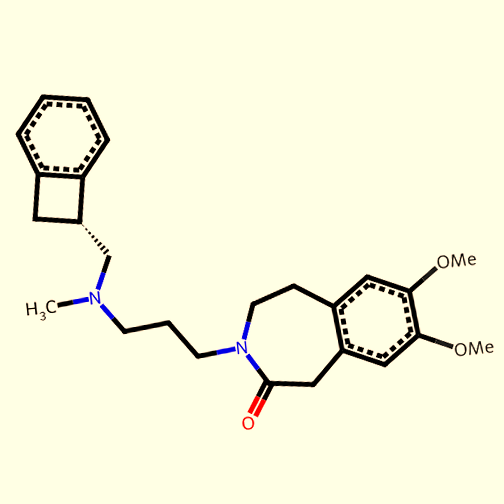 COc1cc2c(cc1OC)CC(=O)N(CCCN(C)C[C@@H]1Cc3ccccc31)CC2